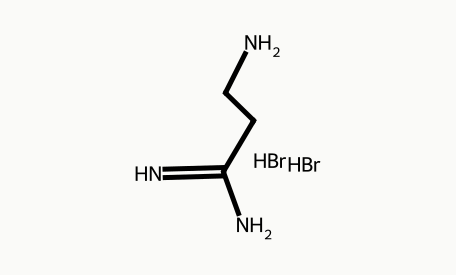 Br.Br.N=C(N)CCN